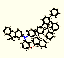 CC1(C)c2ccccc2-c2ccc(N(c3ccccc3)c3cccc4oc5c6ccccc6c(-c6ccc7c(c6)C(c6ccccc6)(c6ccccc6)c6cc(-c8ccccc8)ccc6-7)cc5c34)cc21